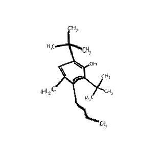 [CH2]c1cc(C(C)(C)C)c(O)c(C(C)(C)C)c1CCCC